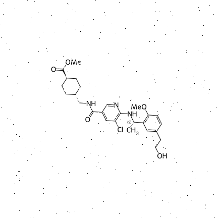 COc1ccc(CCO)cc1[C@H](C)Nc1ncc(C(=O)NC[C@H]2CC[C@H](C(=O)OC)CC2)cc1Cl